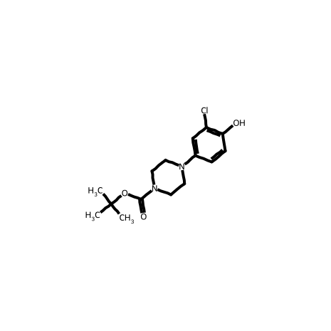 CC(C)(C)OC(=O)N1CCN(c2ccc(O)c(Cl)c2)CC1